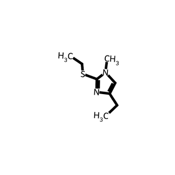 CCSc1nc(CC)cn1C